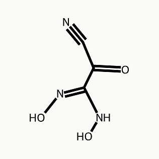 N#CC(=O)C(=NO)NO